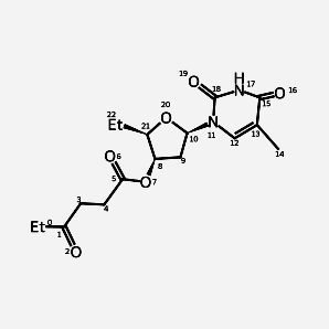 CCC(=O)CCC(=O)O[C@@H]1C[C@H](n2cc(C)c(=O)[nH]c2=O)O[C@@H]1CC